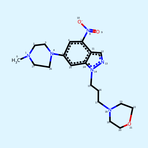 CN1CCN(c2cc([N+](=O)[O-])c3cnn(CCCN4CCOCC4)c3c2)CC1